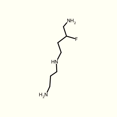 NCCCNCCC(F)CN